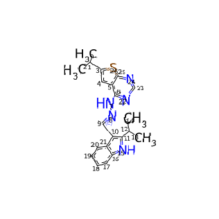 CC(C)c1cc2c(N/N=C/c3c(C(C)C)[nH]c4ccccc34)ncnc2s1